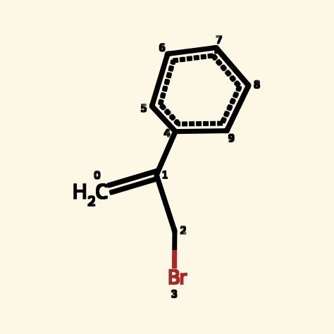 C=C(CBr)c1cc[c]cc1